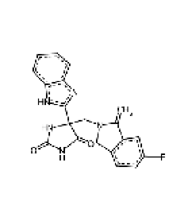 C=C1c2cc(F)ccc2CN1CC1(c2nc3ccccc3[nH]2)NC(=O)NC1=O